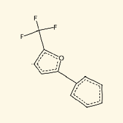 FC(F)(F)c1[c]cc(-c2ccccc2)o1